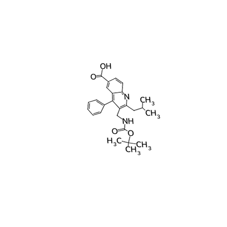 CC(C)Cc1nc2ccc(C(=O)O)cc2c(-c2ccccc2)c1CNC(=O)OC(C)(C)C